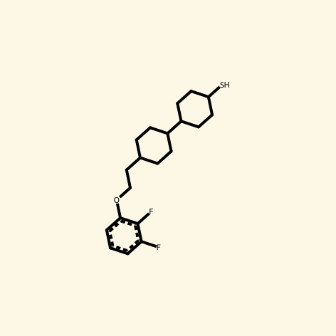 Fc1cccc(OCCC2CCC(C3CCC(S)CC3)CC2)c1F